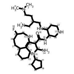 CN(C)CCC(CN)CNC1CCNCC1NC(=O)C(/C1=C2\CCCCC2CCC(F)CN1)C(N)NC1CCCC1